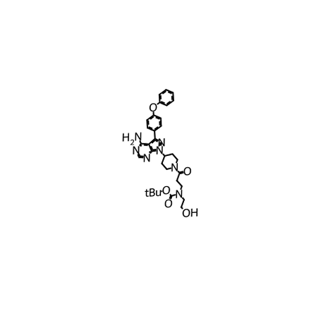 CC(C)(C)OC(=O)N(CCO)CCC(=O)N1CCC(n2nc(-c3ccc(Oc4ccccc4)cc3)c3c(N)ncnc32)CC1